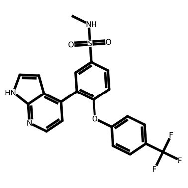 CNS(=O)(=O)c1ccc(Oc2ccc(C(F)(F)F)cc2)c(-c2ccnc3[nH]ccc23)c1